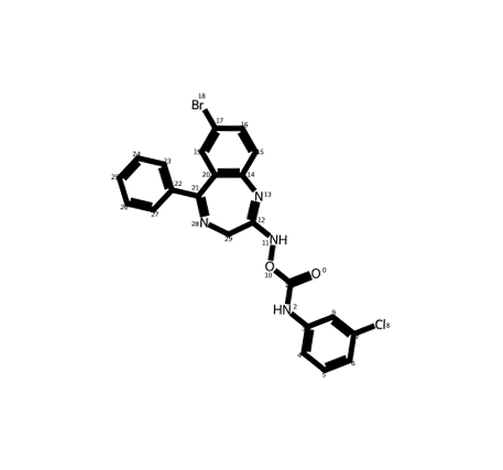 O=C(Nc1cccc(Cl)c1)ONC1=Nc2ccc(Br)cc2C(c2ccccc2)=NC1